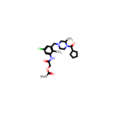 CNC(=O)OCC(=O)Nc1cc(Cl)cc(CN2CCN(C(=O)C3CCCC3)C(C)C2)c1C